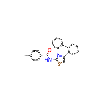 Cc1ccc(C(=O)Nc2nc(-c3ccccc3-c3ccccc3)cs2)cc1